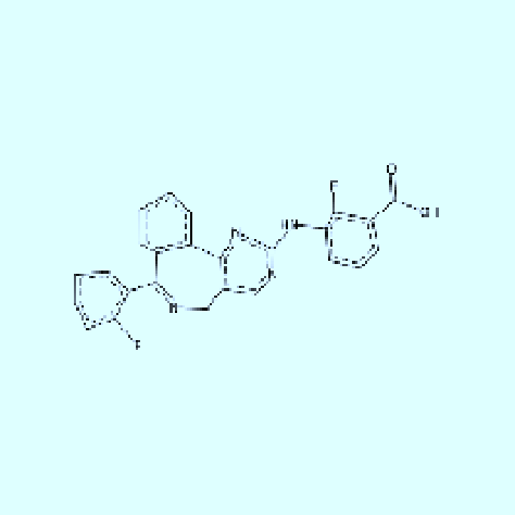 O=C(O)c1cccc(Nc2ncc3c(n2)-c2ccccc2C(c2ccccc2F)=NC3)c1F